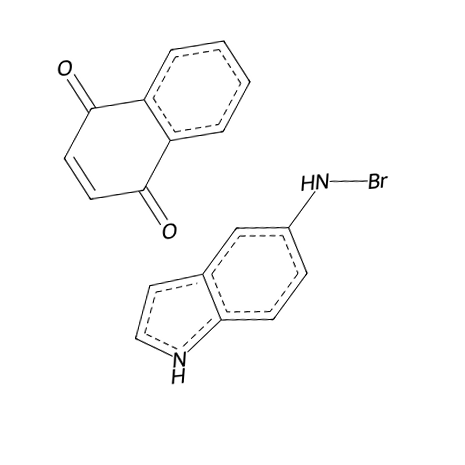 BrNc1ccc2[nH]ccc2c1.O=C1C=CC(=O)c2ccccc21